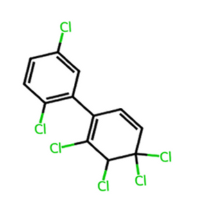 ClC1=C(c2cc(Cl)ccc2Cl)C=CC(Cl)(Cl)C1Cl